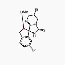 CCC1CN=C2N(C1)C(=S)NC21c2cc(Br)ccc2CC12CCC(OC)CC2